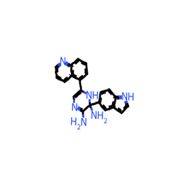 NC1=NC=C(c2cccc3ncccc23)NC1(N)c1ccc2[nH]ccc2c1